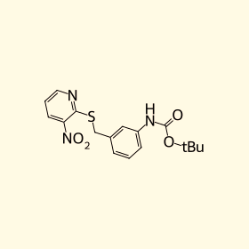 CC(C)(C)OC(=O)Nc1cccc(CSc2ncccc2[N+](=O)[O-])c1